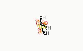 C#CC(CCC(CCC(C#C)[SH](=O)=O)C(C#C)[SH](=O)=O)[SH](=O)=O